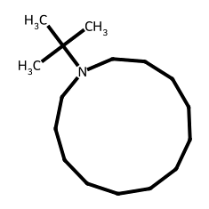 CC(C)(C)N1CCCCCCCCCCCC1